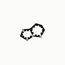 c1cnn2ncnc2c1